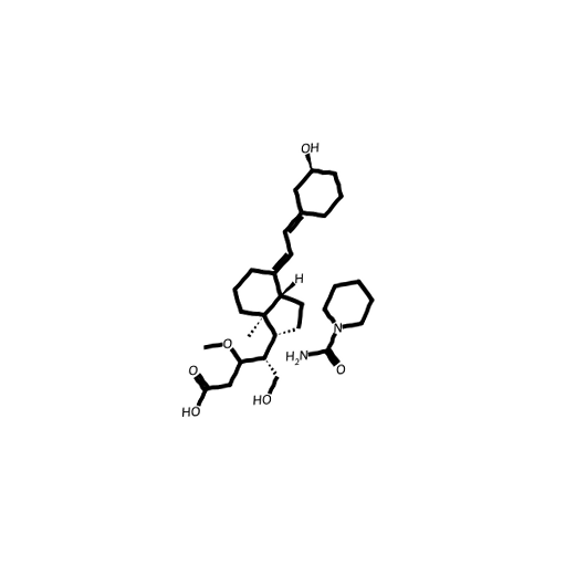 COC(CC(=O)O)[C@@H](CO)[C@H]1CC[C@H]2C(=CC=C3CCC[C@H](O)C3)CCC[C@]12C.NC(=O)N1CCCCC1